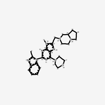 Cc1nc2ccccc2n1-c1nc(N2CCOCC2)c2nc(CN3CCN4CCCC4C3)n(C)c2n1